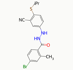 Cc1cc(Br)ccc1C(=O)NNc1ccc(SC(C)C)c(C#N)c1